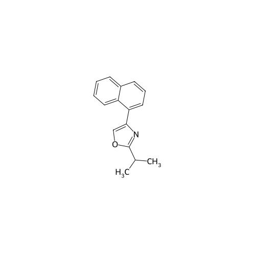 CC(C)c1nc(-c2cccc3ccccc23)co1